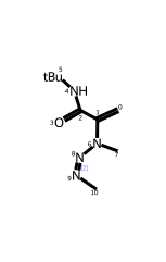 C=C(C(=O)NC(C)(C)C)N(C)/N=N\C